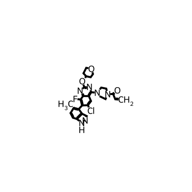 C=CC(=O)N1CCN(c2nc(OC3CCOCC3)nc3c(F)c(-c4c(C)ccc5[nH]ncc45)c(Cl)cc23)CC1